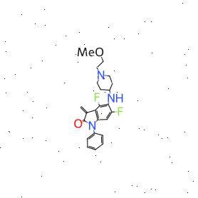 C=C1C(=O)N(c2ccccc2)c2cc(F)c(NC3CCN(CCOC)CC3)c(F)c21